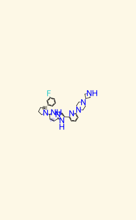 N=C(/C=C\c1ncc(-c2cccc(N3CCN(C4CNC4)CC3)n2)[nH]1)N1CCC[C@@H]1c1cccc(F)c1